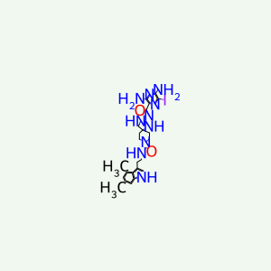 Cc1cc(C)c2c(CCNC(=O)N3CCC4(CC3)CN/C(=N\C(=O)c3nc(I)c(N)nc3N)N4)c[nH]c2c1